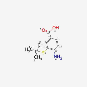 CC(C)(C)Sc1cc(C(=O)O)ccc1N